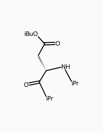 CC(C)COC(=O)C[C@H](NC(C)C)C(=O)C(C)C